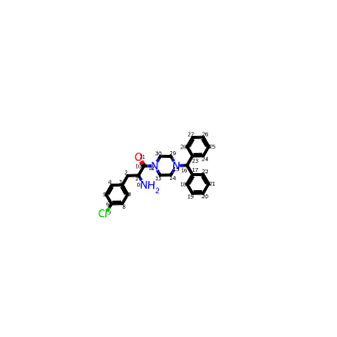 NC(Cc1ccc(Cl)cc1)C(=O)N1CCN(C(c2ccccc2)c2ccccc2)CC1